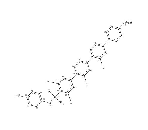 CCCCCc1ccc(-c2ccc(-c3ccc(-c4cc(F)c(C(F)(F)Oc5ccc(F)cc5)c(F)c4)c(F)c3)c(F)c2)cc1